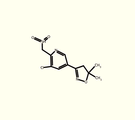 CC1(C)CC(c2cnc(C[SH](=O)=O)c(Cl)c2)=NO1